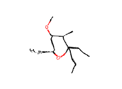 B[C@@H]1OC(CC)(CC)[C@H](C)C1OC